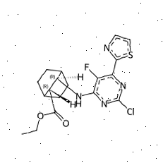 CCOC(=O)[C@@H]1C2CCC(CC2)[C@H]1Nc1nc(Cl)nc(-c2nccs2)c1F